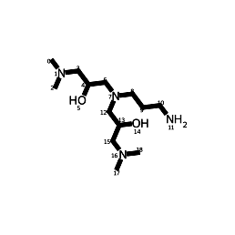 CN(C)CC(O)CN(CCCN)CC(O)CN(C)C